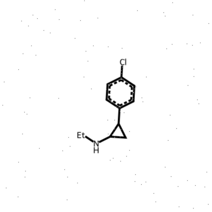 CCNC1CC1c1ccc(Cl)cc1